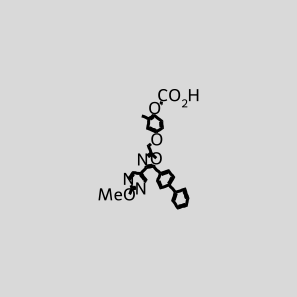 COc1ncc(-c2nc(COc3ccc(OCC(=O)O)c(C)c3)oc2-c2ccc(-c3ccccc3)cc2)cn1